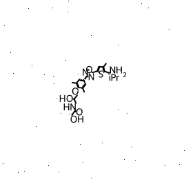 Cc1cc(-c2nc(-c3cc(C)c(OCC(O)CNC(=O)CO)c(C)c3)no2)sc1C(N)C(C)C